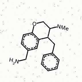 CNC1COc2ccc(CN)cc2C1Cc1ccccc1